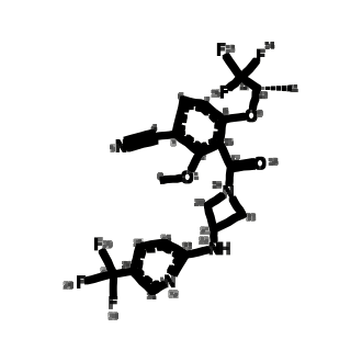 COc1c(C#N)ccc(O[C@@H](C)C(F)(F)F)c1C(=O)N1CC(Nc2ccc(C(F)(F)F)cn2)C1